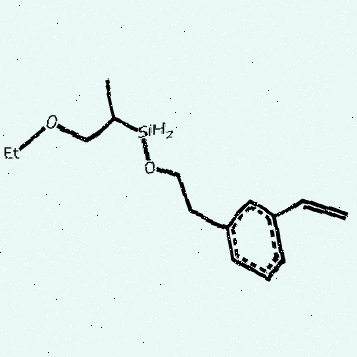 C=Cc1cccc(CCO[SiH2]C(C)COCC)c1